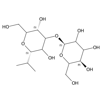 CC(C)[C@@H]1OC(CO)[C@H](O)C(O[C@@H]2OC(CO)[C@H](O)C(O)C2O)C1O